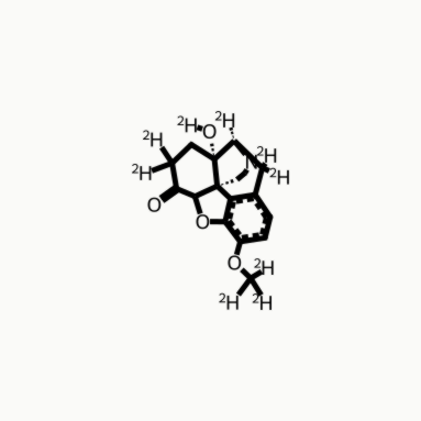 [2H]O[C@@]12CC([2H])([2H])C(=O)C3Oc4c(OC([2H])([2H])[2H])ccc5c4[C@@]31CCN(C)[C@]2([2H])C5([2H])[2H]